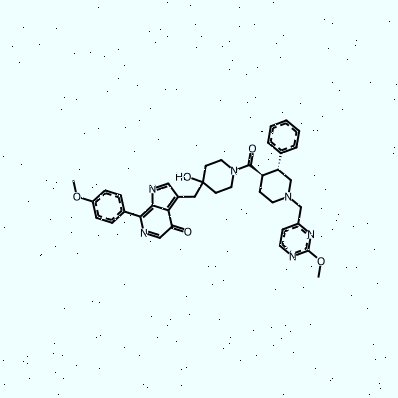 COc1ccc(C2=C3N=CC(CC4(O)CCN(C(=O)[C@@H]5CCN(Cc6ccnc(OC)n6)C[C@H]5c5ccccc5)CC4)=C3C(=O)C=N2)cc1